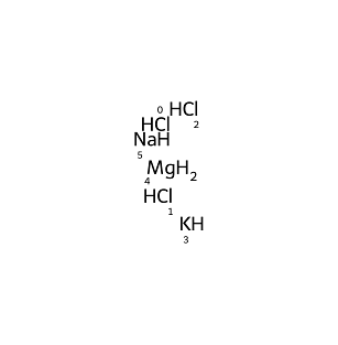 Cl.Cl.Cl.[KH].[MgH2].[NaH]